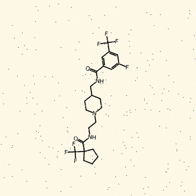 O=C(NCC1CCN(CCNC(=O)C2(C(F)(F)F)CCCC2)CC1)c1cc(F)cc(C(F)(F)F)c1